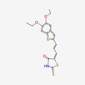 CCOc1cc2cc(C=CC=C3SC(=S)NC3=O)sc2cc1OCC